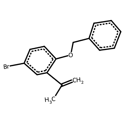 C=C(C)c1cc(Br)ccc1OCc1ccccc1